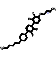 C/C=C/COc1ccc(-c2ccc(C3CCC(CCCCCC)CC3)c(F)c2F)c(F)c1F